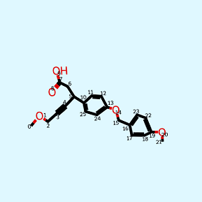 COCC#CC(CC(=O)O)c1ccc(OCc2ccc(OC)cc2)cc1